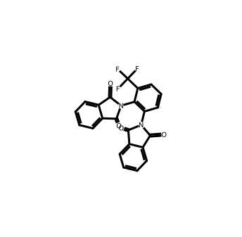 O=C1c2ccccc2C(=O)N1c1[c]ccc(C(F)(F)F)c1N1C(=O)c2ccccc2C1=O